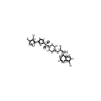 Cc1noc(-c2ccc(S(=O)(=O)N3CCN(CC(C)Nc4ncnc5c(C)csc45)CC3)s2)c1C